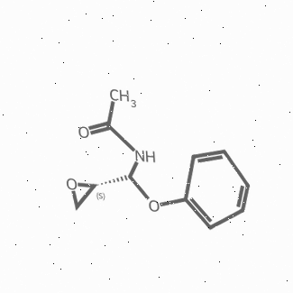 CC(=O)NC(Oc1ccccc1)[C@@H]1CO1